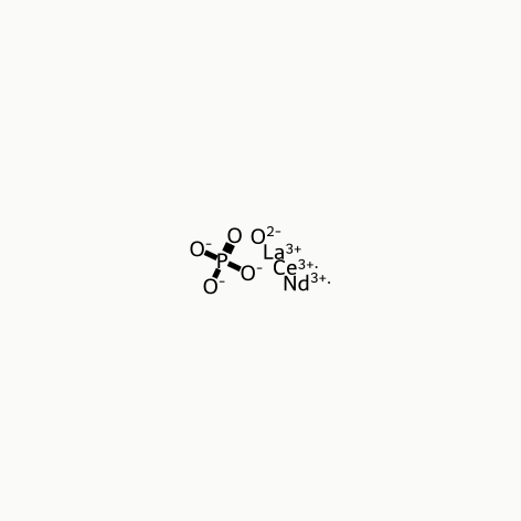 O=P([O-])([O-])[O-].[Ce+3].[La+3].[Nd+3].[O-2]